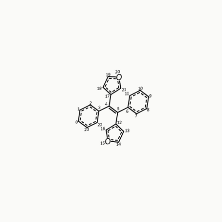 c1ccc(C(=C(c2ccccc2)c2ccoc2)c2ccoc2)cc1